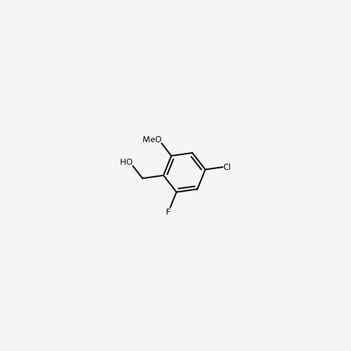 COc1cc(Cl)cc(F)c1CO